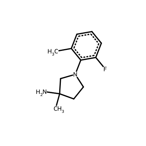 Cc1cccc(F)c1N1CCC(C)(N)C1